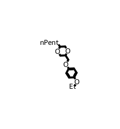 CCCCCC1COC(COc2ccc(OCC)cc2)CO1